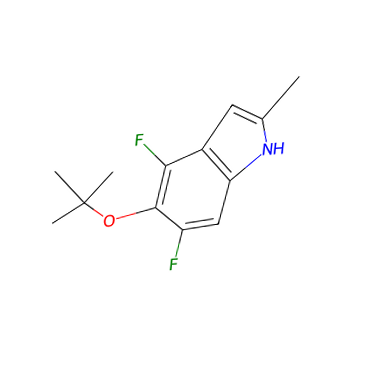 Cc1cc2c(F)c(OC(C)(C)C)c(F)cc2[nH]1